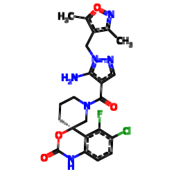 Cc1noc(C)c1Cn1ncc(C(=O)N2CCC[C@@]3(C2)OC(=O)Nc2ccc(Cl)c(F)c23)c1N